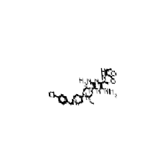 C=C(NC1CCOC1=O)c1nc(N)c(N2CCN(C3CCN(Cc4ccc(Cl)cc4)CC3)[C@@H](CC)C2)nc1N